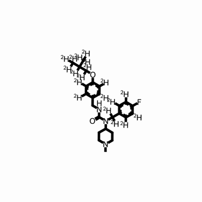 [2H]c1c([2H])c(C([2H])([2H])N(C(=O)NCc2c([2H])c([2H])c(OC([2H])([2H])C([2H])(C([2H])([2H])[2H])C([2H])([2H])[2H])c([2H])c2[2H])C2CCN(C)CC2)c([2H])c([2H])c1F